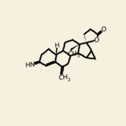 C=C1CC2C(CC[C@@]3(CC)C2C2CC2[C@@]32CCC(=O)O2)[C@H]2CCC(=N)C=C12